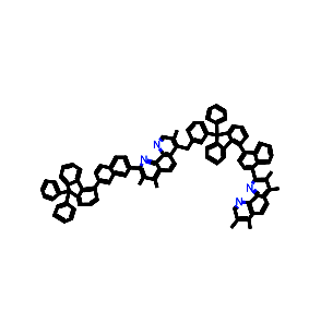 Cc1cnc2c(ccc3c(C)c(C)c(-c4ccc(-c5cccc6c5-c5ccccc5C6(c5ccccc5)c5cccc(Cc6c(C)cnc7c6ccc6c(C)c(C)c(-c8ccc9ccc(-c%10cccc%11c%10-c%10ccccc%10C%11(c%10ccccc%10)c%10ccccc%10)cc9c8)nc67)c5)c5ccccc45)nc32)c1C